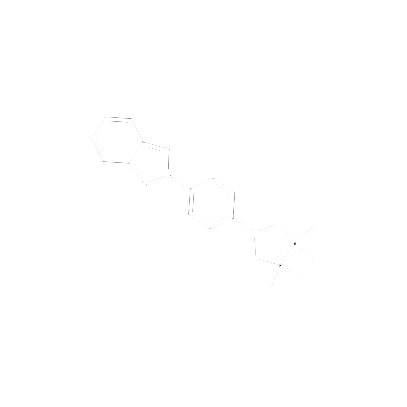 CC1(C)OB(c2ccc(-n3nc4ccccc4n3)cc2)OC1(C)C